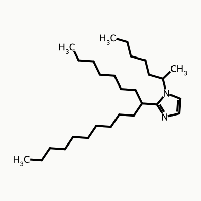 CCCCCCCCCCC(CCCCCCC)c1nccn1C(C)CCCCC